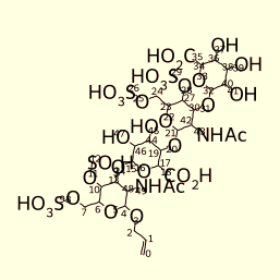 C=CCOC1OC(COS(=O)(=O)O)C(OS(=O)(=O)O)C(OC2OC(C(=O)O)C(OC3OC(COS(=O)(=O)O)C(OS(=O)(=O)O)C(OC4OC(C(=O)O)C(O)C(O)C4O)C3NC(C)=O)C(O)C2O)C1NC(C)=O